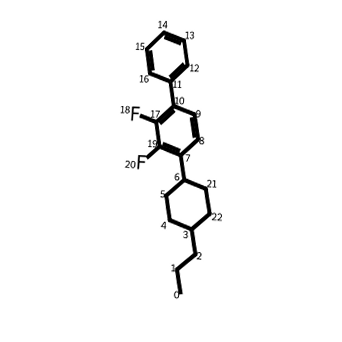 CCCC1CCC(c2ccc(-c3ccccc3)c(F)c2F)CC1